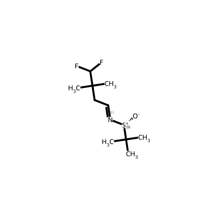 CC(C)(C/C=N/[S@+]([O-])C(C)(C)C)C(F)F